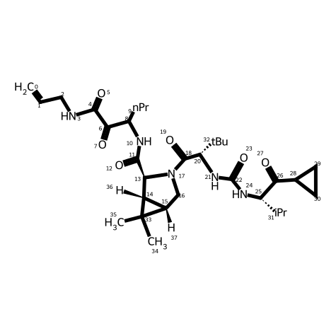 C=CCNC(=O)C(=O)C(CCC)NC(=O)[C@@H]1[C@@H]2[C@H](CN1C(=O)[C@@H](NC(=O)N[C@H](C(=O)C1CC1)C(C)C)C(C)(C)C)C2(C)C